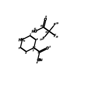 CC(C)(C)C(=O)N1CCNCC1.O=C(O)C(F)(F)F